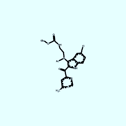 CC(=O)N(CCNC(=O)OC(C)(C)C)c1c(C(=O)c2cc(C)ccn2)[nH]c2ccc(Cl)cc12